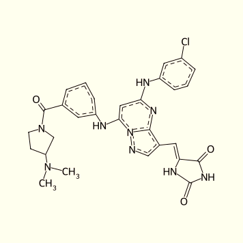 CN(C)C1CCN(C(=O)c2cccc(Nc3cc(Nc4cccc(Cl)c4)nc4c(/C=C5\NC(=O)NC5=O)cnn34)c2)C1